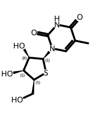 Cc1cn([C@H]2S[C@@H](CO)[C@@H](O)[C@H]2O)c(=O)[nH]c1=O